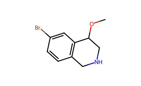 COC1CNCc2ccc(Br)cc21